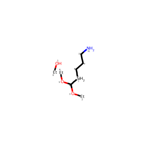 CCO.CCOC(OCC)[SiH2]CCCN